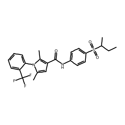 CCC(C)S(=O)(=O)c1ccc(NC(=O)c2cc(C)n(-c3ccccc3C(F)(F)F)c2C)cc1